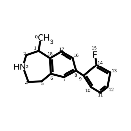 CC1CNCCc2cc(-c3ccccc3F)ccc21